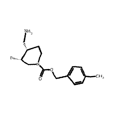 Cc1ccc(COC(=O)N2CC[C@@H](CN)[C@@H](F)C2)cc1